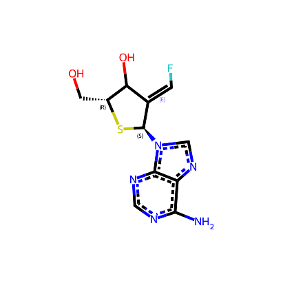 Nc1ncnc2c1ncn2[C@H]1S[C@H](CO)C(O)/C1=C\F